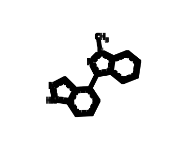 Cn1nc(-c2cccc3[nH]ncc23)c2ccccc21